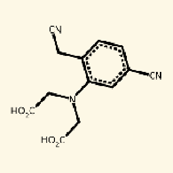 N#CCc1ccc(C#N)cc1N(CC(=O)O)CC(=O)O